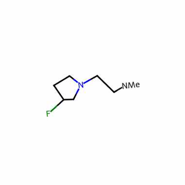 CNCCN1CCC(F)C1